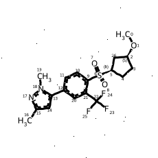 CO[C@H]1CC[C@@H](S(=O)(=O)c2ccc(-c3cc(C)nn3C)cc2C(F)(F)F)C1